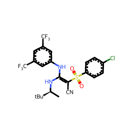 C[C@H](N/C(Nc1cc(C(F)(F)F)cc(C(F)(F)F)c1)=C(\C#N)S(=O)(=O)c1ccc(Cl)cc1)C(C)(C)C